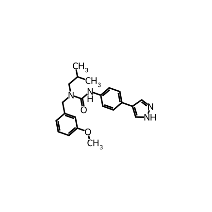 COc1cccc(CN(CC(C)C)C(=O)Nc2ccc(-c3cn[nH]c3)cc2)c1